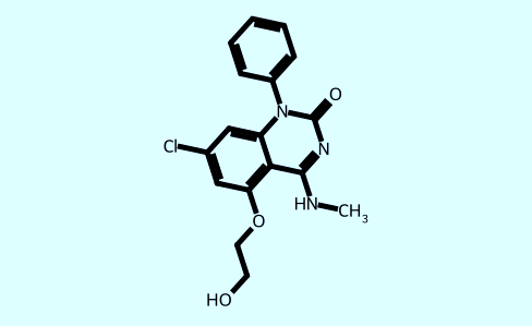 CNc1nc(=O)n(-c2ccccc2)c2cc(Cl)cc(OCCO)c12